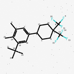 Cc1cc(C2CCC(C(F)(F)F)(C(F)(F)F)CC2)cc(C(C)(C)C)c1C